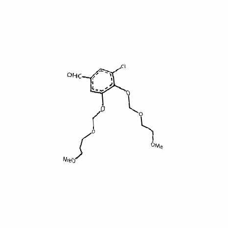 COCCOCOc1cc(C=O)cc(Cl)c1OCOCCOC